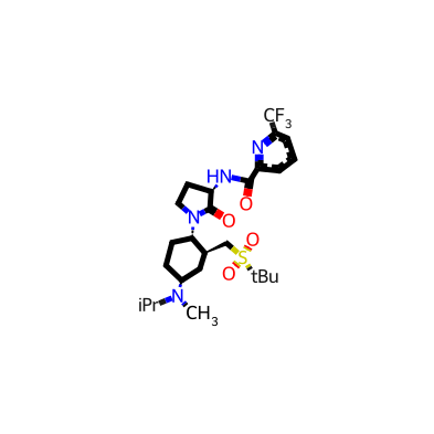 CC(C)N(C)[C@@H]1CC[C@H](N2CC[C@H](NC(=O)c3cccc(C(F)(F)F)n3)C2=O)[C@@H](CS(=O)(=O)C(C)(C)C)C1